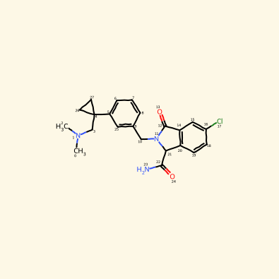 CN(C)CC1(c2cccc(CN3C(=O)c4cc(Cl)c[c]c4C3C(N)=O)c2)CC1